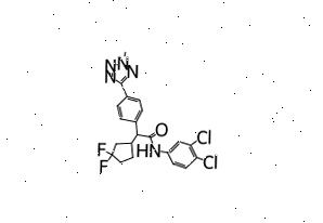 Cn1nnc(-c2ccc(C(C(=O)Nc3ccc(Cl)c(Cl)c3)C3CCC(F)(F)C3)cc2)n1